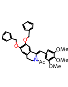 COc1cc(/C=C2/c3cc(OCc4ccccc4)c(OCc4ccccc4)cc3CCN2C(C)=O)cc(OC)c1OC